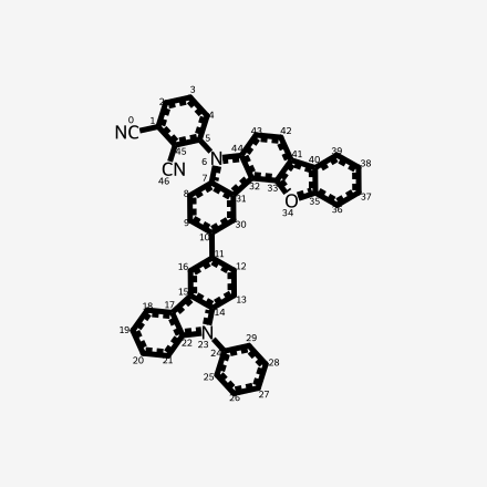 N#Cc1cccc(-n2c3ccc(-c4ccc5c(c4)c4ccccc4n5-c4ccccc4)cc3c3c4oc5ccccc5c4ccc32)c1C#N